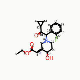 CCOC(=O)/C=C1\CN(C(C(=O)C2CC2)c2ccccc2F)CCC1O